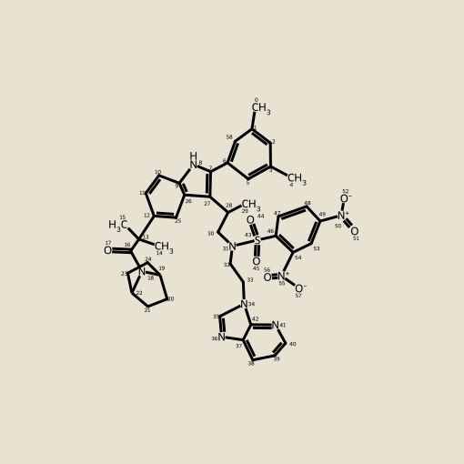 Cc1cc(C)cc(-c2[nH]c3ccc(C(C)(C)C(=O)N4C5CCC4CC5)cc3c2C(C)CN(CCn2cnc3cccnc32)S(=O)(=O)c2ccc([N+](=O)[O-])cc2[N+](=O)[O-])c1